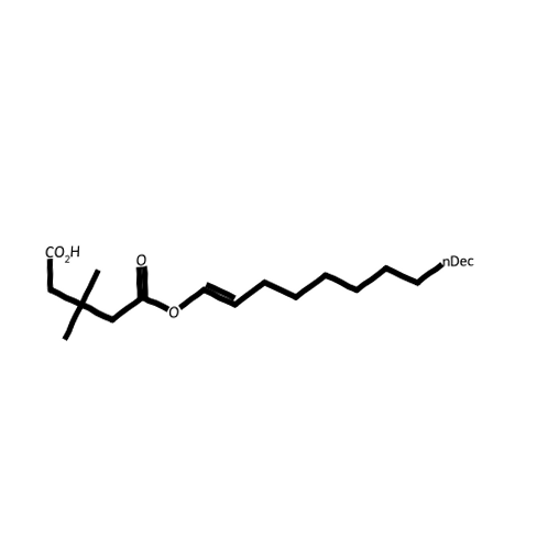 CCCCCCCCCCCCCCCCC=COC(=O)CC(C)(C)CC(=O)O